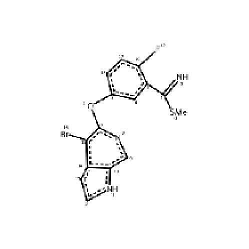 CSC(=N)c1cc(Oc2ncc3[nH]ccc3c2Br)ccc1F